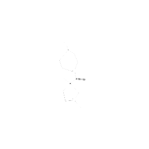 CC(C)C1CCN(C(=O)C2(C)CCN(C)C2)CC1